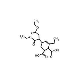 CCOC(=O)CC(C(=O)OCC)C1C=C(CC)C(C(=O)O)C(C(=O)O)C1